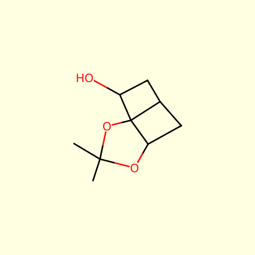 CC1(C)OC2CC3CC(O)C32O1